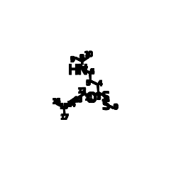 CSSC(CCCNC(C)C)OCC#CC(C)C